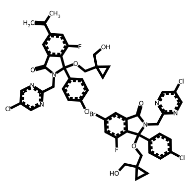 C=C(C)c1cc(F)c2c(c1)C(=O)N(Cc1ncc(Cl)cn1)C2(OCC1(CO)CC1)c1ccc(Cl)cc1.O=C1c2cc(Br)cc(F)c2C(OCC2(CO)CC2)(c2ccc(Cl)cc2)N1Cc1ncc(Cl)cn1